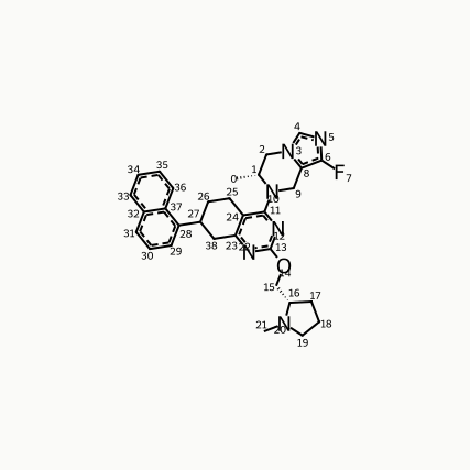 C[C@@H]1Cn2cnc(F)c2CN1c1nc(OC[C@@H]2CCCN2C)nc2c1CCC(c1cccc3ccccc13)C2